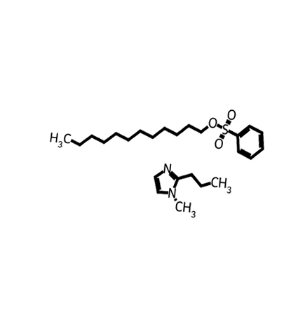 CCCCCCCCCCCCOS(=O)(=O)c1ccccc1.CCCc1nccn1C